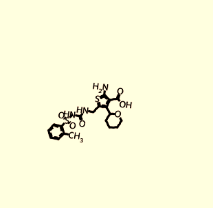 Cc1ccccc1S(=O)(=O)NC(=O)NCc1sc(N)c(C(=O)O)c1C1CCCCO1